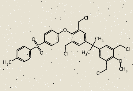 COc1c(CCl)cc(C(C)(C)c2cc(CCl)c(Oc3ccc(S(=O)(=O)c4ccc(C)cc4)cc3)c(CCl)c2)cc1CCl